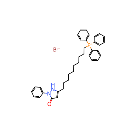 O=c1cc(CCCCCCCCCC[P+](c2ccccc2)(c2ccccc2)c2ccccc2)[nH]n1-c1ccccc1.[Br-]